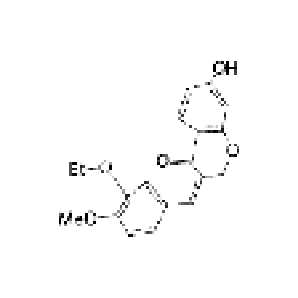 CCOc1cc(C=C2COc3cc(O)ccc3C2=O)ccc1OC